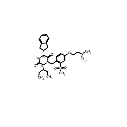 CCC(CC)[C@@H]1C(=O)N[C@H](C2Cc3ccccc3C2)C(=O)N1Cc1ccc(OCCN(C)C)cc1S(C)(=O)=O